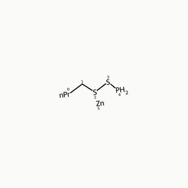 CCCCSSP.[Zn]